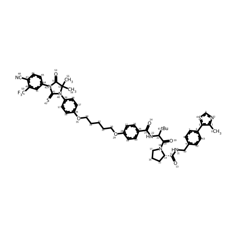 Cc1ncsc1-c1ccc(CNC(=O)[C@@H]2CCCN2C(=O)C(NC(=O)c2ccc(OCCCCCOc3ccc(N4C(=S)N(c5ccc(C#N)c(C(F)(F)F)c5)C(=O)C4(C)C)cc3)cc2)C(C)(C)C)cc1